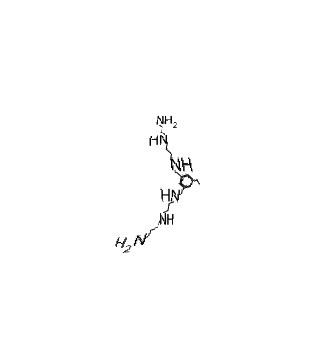 CCc1cc(CNCCCCNCCCCN)cc(CNCCCCNCCCCN)c1